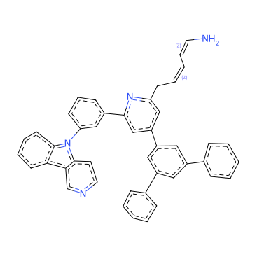 N/C=C\C=C/Cc1cc(-c2cc(-c3ccccc3)cc(-c3ccccc3)c2)cc(-c2cccc(-n3c4ccccc4c4cnccc43)c2)n1